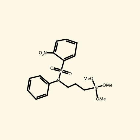 CO[Si](CCCN(c1ccccc1)S(=O)(=O)c1ccccc1[N+](=O)[O-])(OC)OC